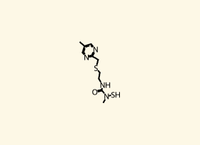 Cc1cnc(CSCCNC(=O)N(C)S)nc1